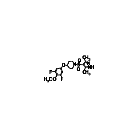 COc1c(F)cc(OC2CCN(S(=O)(=O)c3c(C)n[nH]c3C)CC2)cc1F